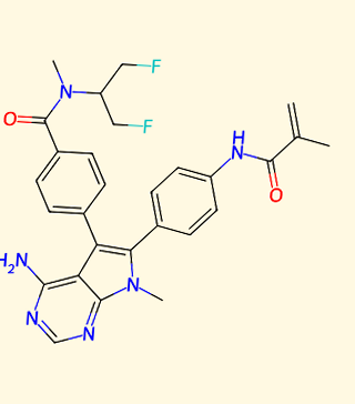 C=C(C)C(=O)Nc1ccc(-c2c(-c3ccc(C(=O)N(C)C(CF)CF)cc3)c3c(N)ncnc3n2C)cc1